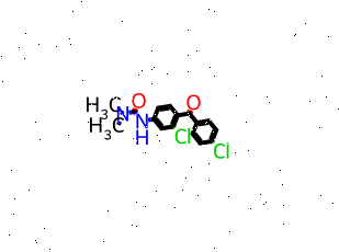 CN(C)C(=O)Nc1ccc(C(=O)c2ccc(Cl)cc2)c(Cl)c1